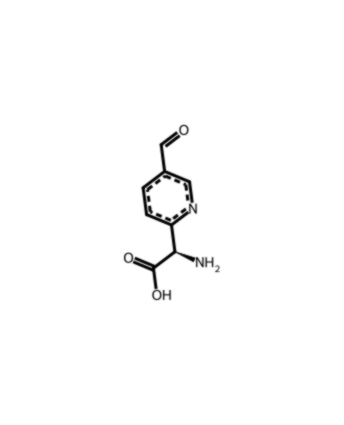 N[C@@H](C(=O)O)c1ccc(C=O)cn1